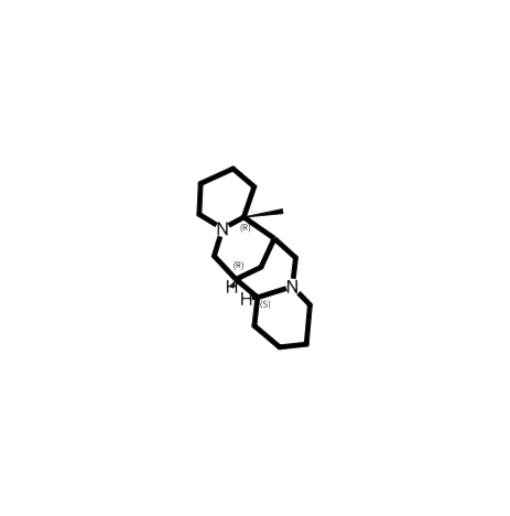 C[C@]12CCCCN1C[C@H]1CC2CN2CCCC[C@@H]12